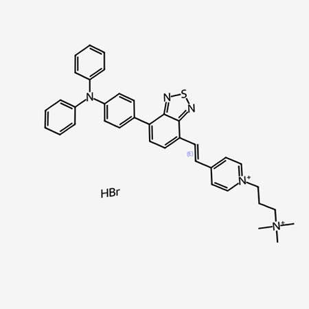 Br.C[N+](C)(C)CCC[n+]1ccc(/C=C/c2ccc(-c3ccc(N(c4ccccc4)c4ccccc4)cc3)c3nsnc23)cc1